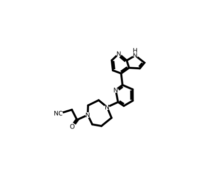 N#CCC(=O)N1CCCN(c2cccc(-c3ccnc4[nH]ccc34)n2)CC1